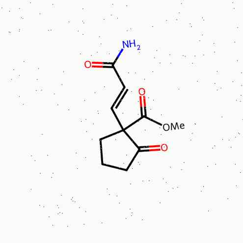 COC(=O)C1(/C=C/C(N)=O)CCCC1=O